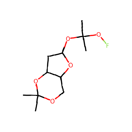 CC(C)(OF)OC1CC2OC(C)(C)OCC2O1